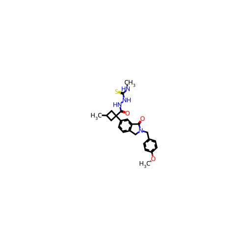 CNC(=S)NNC(=O)C1(c2ccc3c(c2)C(=O)N(Cc2ccc(OC)cc2)C3)CC(C)C1